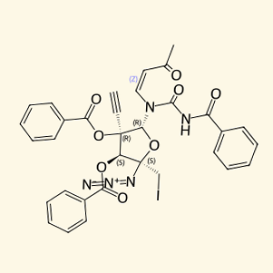 C#C[C@]1(OC(=O)c2ccccc2)[C@H](N(/C=C\C(C)=O)C(=O)NC(=O)c2ccccc2)O[C@@](CI)(N=[N+]=[N-])[C@H]1OC(=O)c1ccccc1